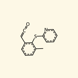 Cc1cccc(C=C=O)c1Sc1ccccn1